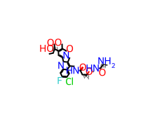 CC[C@@]1(O)C(=O)OCc2c1cc1n(c2=O)Cc2c-1nc1cc(F)c(Cl)cc1c2CNC(=O)C[C@@H](C)OCNC(=O)[C@H](C)N